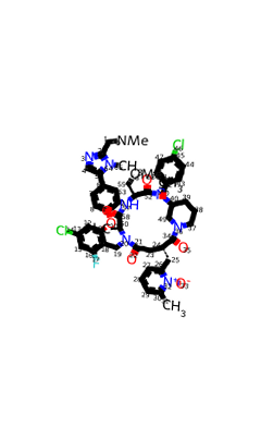 CNCc1ncc(-c2ccc(Oc3cc(Cl)cc(F)c3CN3C(=O)C[C@@H](Cc4cccc(C)[n+]4[O-])C(=O)N4CCC[C@@](Cc5ccc(Cl)cc5)(C4)N(C)C(=O)[C@H](COC)NC(=O)[C@@H]3C)cc2)n1C